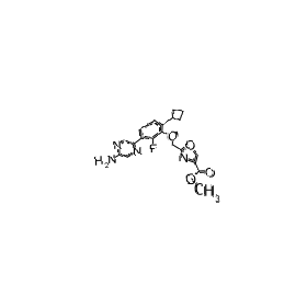 COC(=O)c1coc(COc2c(C3CCC3)ccc(-c3cnc(N)cn3)c2F)n1